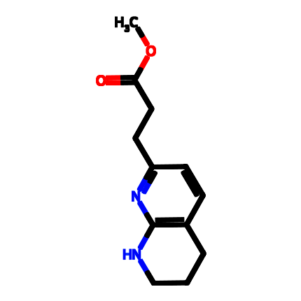 COC(=O)CCc1ccc2c(n1)NCCC2